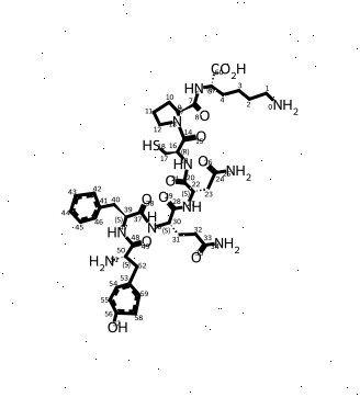 NCCCC[C@H](NC(=O)[C@@H]1CCCN1C(=O)[C@H](CS)NC(=O)[C@H](CC(N)=O)NC(=O)[C@H](CCC(N)=O)NC(=O)[C@H](Cc1ccccc1)NC(=O)[C@@H](N)Cc1ccc(O)cc1)C(=O)O